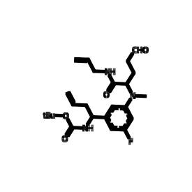 C=CCNC(=O)C(CCC=O)N(C)c1cc(F)cc(C(CC=C)NC(=O)OC(C)(C)C)c1